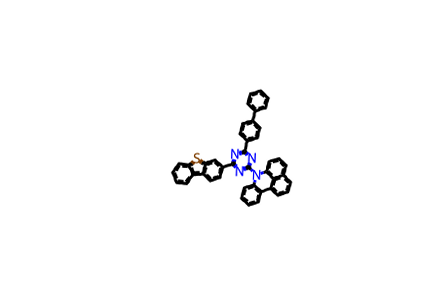 c1ccc(-c2ccc(-c3nc(-c4ccc5c(c4)sc4ccccc45)nc(N4c5ccccc5-c5cccc6cccc4c56)n3)cc2)cc1